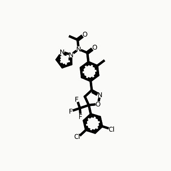 CC(=O)N(C(=O)c1ccc(C2=NOC(c3cc(Cl)cc(Cl)c3)(C(F)(F)F)C2)cc1C)n1cccn1